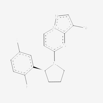 O=[N+]([O-])c1cnn2ccc(N3CCC[C@H]3c3cc(F)ccc3F)nc12